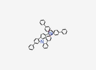 c1ccc(-c2ccc(N(c3ccc(-c4ccccc4)cc3)c3ccc(-c4ccccc4-n4c5cc(-c6ccccc6)ccc5c5ccc(-c6ccccc6)cc54)cc3)cc2)cc1